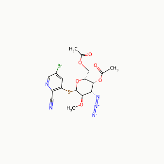 CO[C@H]1C(Sc2cc(Br)cnc2C#N)O[C@H](COC(C)=O)[C@H](OC(C)=O)[C@@H]1N=[N+]=[N-]